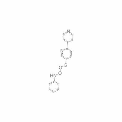 c1ccc(NOOSc2ccc(-c3ccncc3)nc2)cc1